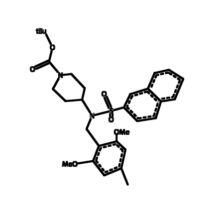 COc1cc(C)cc(OC)c1CN(C1CCN(C(=O)OC(C)(C)C)CC1)S(=O)(=O)c1ccc2ccccc2c1